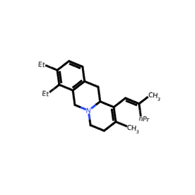 CCC/C(C)=C\C1=C(C)CCN2Cc3c(ccc(CC)c3CC)CC12